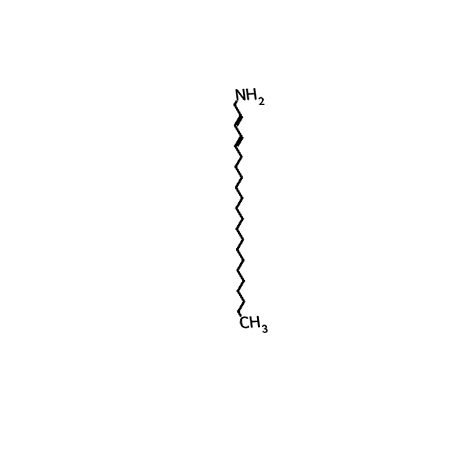 CCCCCCCCCCCCCCCCC/C=C/C=C/CN